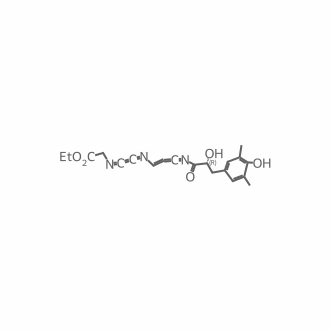 CCOC(=O)CN=C=C=NC=C=C=NC(=O)[C@H](O)Cc1cc(C)c(O)c(C)c1